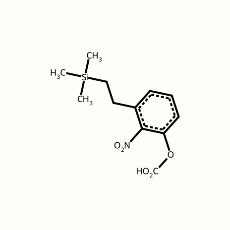 C[Si](C)(C)CCc1cccc(OC(=O)O)c1[N+](=O)[O-]